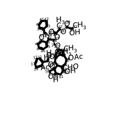 CC(=O)O[C@H]1C[C@]2(C=O)C([C@H](OC(=O)c3ccccc3)[C@]3(O)C[C@H](OC[C@H](OC(=O)C(C)OC(=O)C(C)O)C(NC(=O)c4ccccc4)c4ccccc4)C(C)=C1C3(C)C)[C@]1(OC(C)=O)CO[C@@H]1C[C@@H]2O